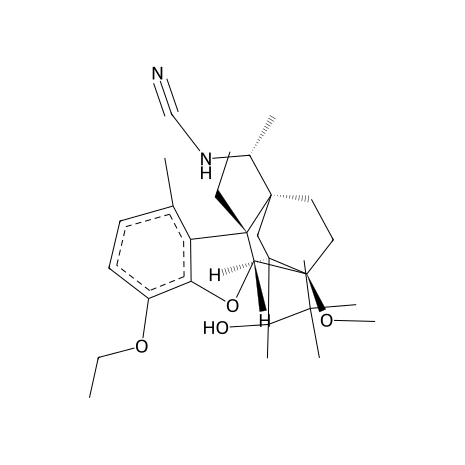 CCOc1ccc(C)c2c1O[C@H]1[C@@]3(OC)CC[C@]([C@@H](C)NC#N)(C[C@@H]3C(C)(O)C(C)(C)C)[C@@]21CC